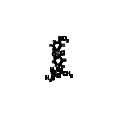 CC(C)(Cc1ccc(Oc2ccc([N+](=O)[O-])cc2)c(Cl)c1)OC(N)=O